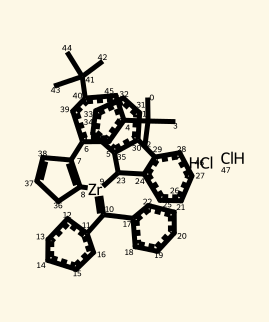 CC(C)(C)c1cc(C2=[C]([Zr](=[C](c3ccccc3)c3ccccc3)[CH]3c4ccccc4-c4ccccc43)CC=C2)cc(C(C)(C)C)c1.Cl.Cl